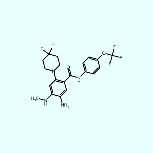 CNc1cc(N2CCC(F)(F)CC2)c(C(=O)Nc2ccc(OC(F)(F)F)cc2)cc1N